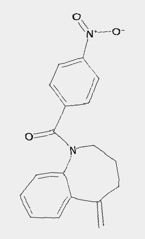 C=C1CCCN(C(=O)c2ccc([N+](=O)[O-])cc2)c2ccccc21